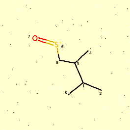 CC(C)C(C)C[S+]=O